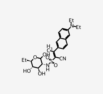 CC[C@H]1OC(O)[C@H](NS(=O)(=O)/C(C#N)=C(\C)c2ccc3cc(N(CC)CC)ccc3c2)[C@@H](O)[C@@H]1O